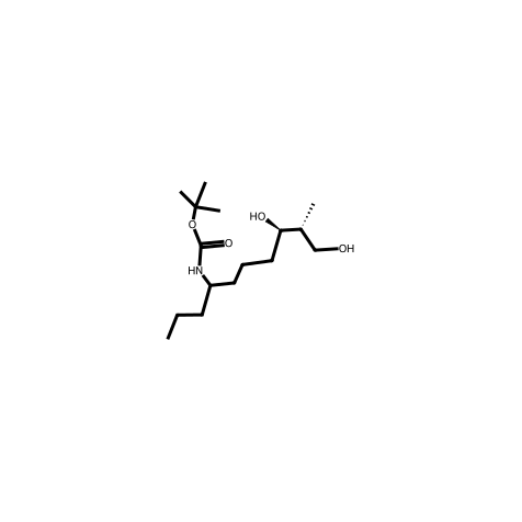 CCCC(CCC[C@@H](O)[C@H](C)CO)NC(=O)OC(C)(C)C